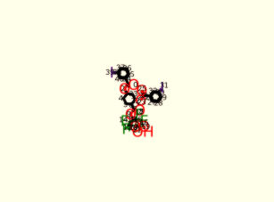 O=C(OC1CCC(C(=O)OC(C(F)(F)F)C(F)(F)S(=O)(=O)O)C(OC(=O)c2cccc(I)c2)C1)c1cccc(I)c1